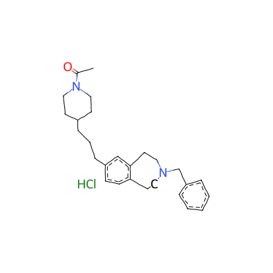 CC(=O)N1CCC(CCCc2ccc3c(c2)CCN(Cc2ccccc2)CC3)CC1.Cl